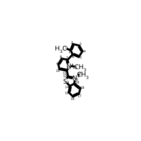 Cc1ccccc1-c1cccc(-c2sc3ccccc3[n+]2C)[n+]1C